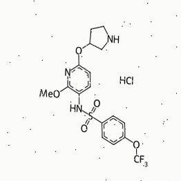 COc1nc(OC2CCNC2)ccc1NS(=O)(=O)c1ccc(OC(F)(F)F)cc1.Cl